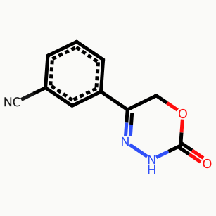 N#Cc1cccc(C2=NNC(=O)OC2)c1